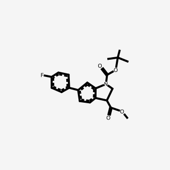 COC(=O)C1CN(C(=O)OC(C)(C)C)c2cc(-c3ccc(F)cc3)ccc21